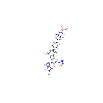 O=C(Nc1nccs1)C(c1ncn2c1CC(F)C2)n1cc2c(Cl)cc(-c3ccc(N4C[C@H]5CN(C(=O)O)C[C@H]5C4)cc3)c(Cl)c2n1